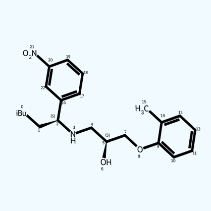 [CH2]CC(C)C[C@H](NC[C@H](O)COc1ccccc1C)c1cccc([N+](=O)[O-])c1